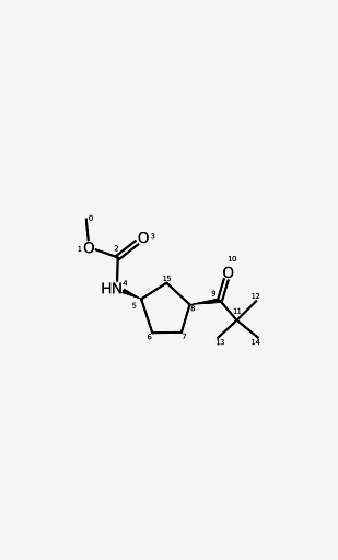 COC(=O)N[C@@H]1CC[C@H](C(=O)C(C)(C)C)C1